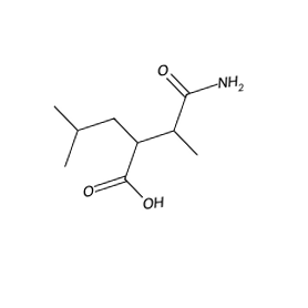 CC(C)CC(C(=O)O)C(C)C(N)=O